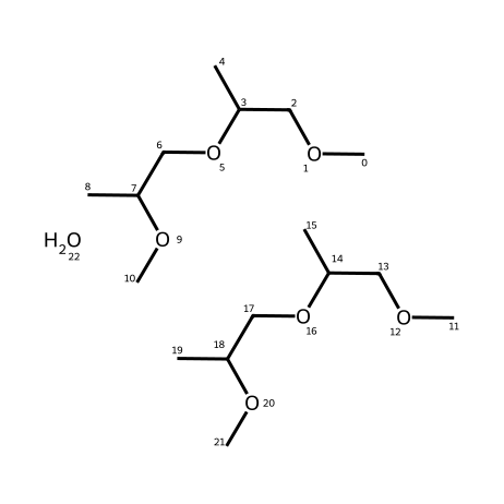 COCC(C)OCC(C)OC.COCC(C)OCC(C)OC.O